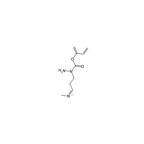 C=CC(=C)OC(=O)N(N)CC/C=N\C